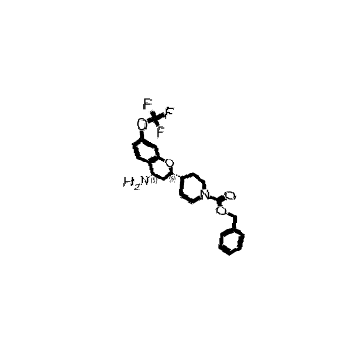 N[C@H]1C[C@@H](C2CCN(C(=O)OCc3ccccc3)CC2)Oc2cc(OC(F)(F)F)ccc21